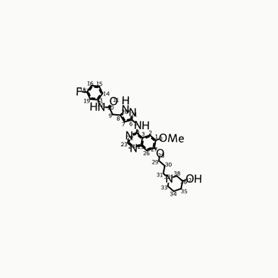 COc1cc2c(Nc3cc(CC(=O)Nc4cccc(F)c4)[nH]n3)ncnc2cc1OCCCN1CCCC(O)C1